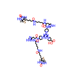 O=C(CCCCC1SC[C@@H]2NC(=O)N[C@H]12)NCCCCCC(=O)NC(Cc1c[nH]cn1)C(=O)NC1CCN(c2nc(N3CCC(NC(=O)C(Cc4c[nH]cn4)NC(=O)CCCCCNC(=O)CCCC[C@H]4SC[C@H]5NC(=O)N[C@H]54)CC3)nc(N3CCC(C(=O)O)CC3)n2)CC1